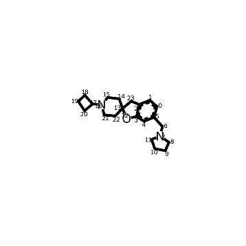 c1cc2c(cc1CN1CCCC1)OC1(CCN(C3CCC3)CC1)C2